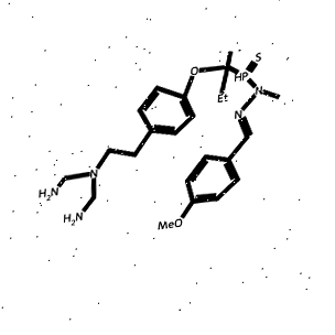 CCC(C)(Oc1ccc(CCN(CN)CN)cc1)[PH](=S)N(C)/N=C/c1ccc(OC)cc1